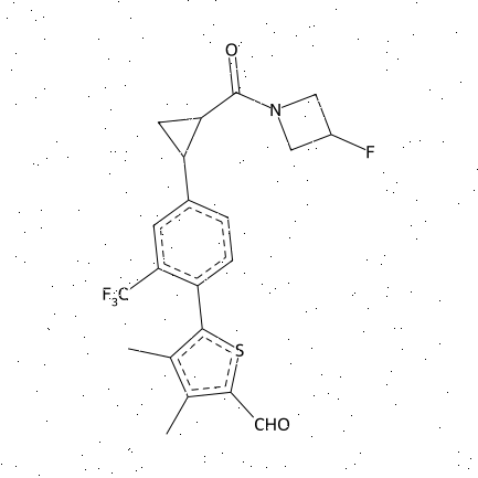 Cc1c(C=O)sc(-c2ccc(C3CC3C(=O)N3CC(F)C3)cc2C(F)(F)F)c1C